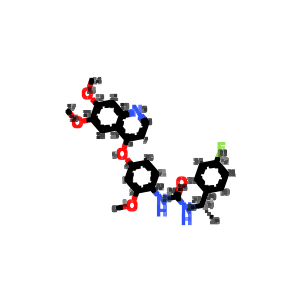 COc1cc(Oc2ccnc3cc(OC)c(OC)cc23)ccc1NC(=O)N[C@@H](C)c1ccc(F)cc1